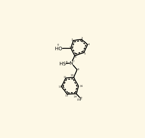 Oc1ccccc1N(S)Cc1cccc(F)c1